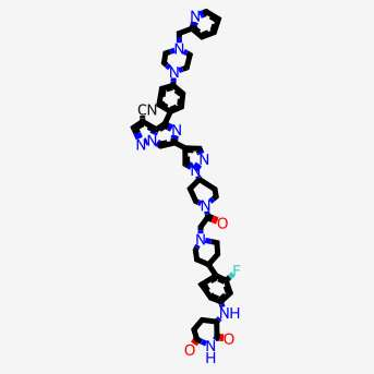 N#Cc1cnn2cc(-c3cnn(C4CCN(C(=O)CN5CCC(c6ccc(NC7CCC(=O)NC7=O)cc6F)CC5)CC4)c3)nc(-c3ccc(N4CCN(Cc5ccccn5)CC4)cc3)c12